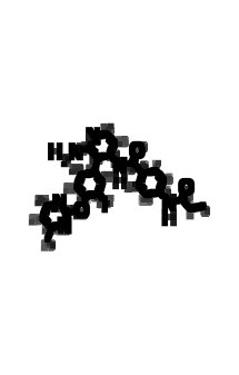 C=CC(=O)Nc1ccc(C(=O)Nc2ccnc(N)c2-c2ccc(Oc3nccc(C)n3)c(F)c2)cc1